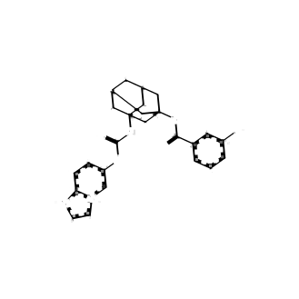 O=C(NC12CC3CC(C1)CC(NC(=O)c1cccc(F)c1)(C3)C2)Oc1ccc2nccn2c1